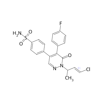 CC(/C=C/Cl)n1ncc(-c2ccc(S(N)(=O)=O)cc2)c(-c2ccc(F)cc2)c1=O